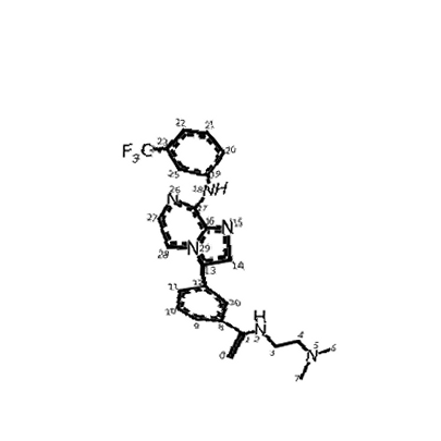 C=C(NCCN(C)C)c1cccc(-c2cnc3c(Nc4cccc(C(F)(F)F)c4)nccn23)c1